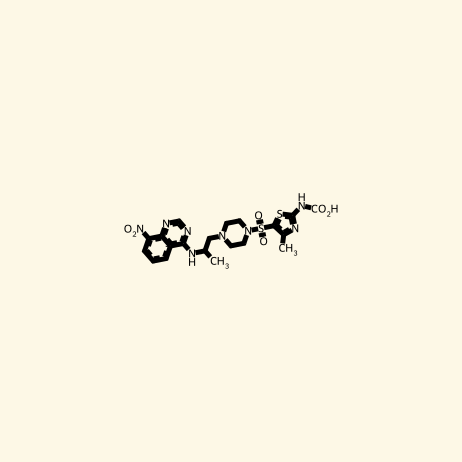 Cc1nc(NC(=O)O)sc1S(=O)(=O)N1CCN(CC(C)Nc2ncnc3c([N+](=O)[O-])cccc23)CC1